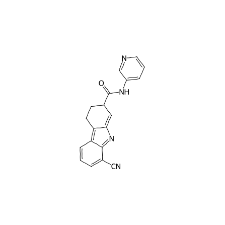 N#Cc1cccc2c1=NC1=CC(C(=O)Nc3cccnc3)CCC=21